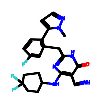 Cn1nccc1-c1ccc(F)cc1Cc1nc(NC2CCC(F)(F)CC2)c(C=N)c(=O)[nH]1